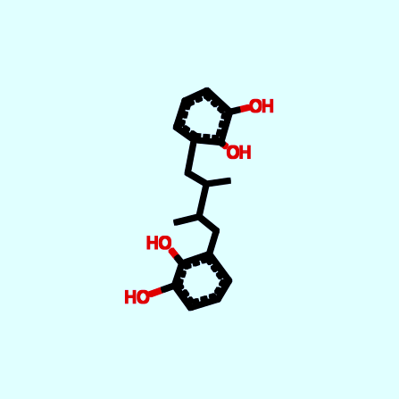 CC(Cc1cccc(O)c1O)C(C)Cc1cccc(O)c1O